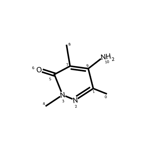 Cc1nn(C)c(=O)c(C)c1N